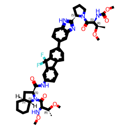 CONC(C(=O)N1[C@H](C(=O)Nc2ccc3c(c2)C(F)(F)c2cc(-c4ccc5[nH]c([C@@H]6CCCN6C(=O)[C@@H](NC(=O)OC)[C@@H](C)OC)nc5c4)ccc2-3)C[C@@H]2CCCC[C@@H]21)[C@@H](C)OC